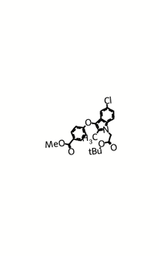 COC(=O)c1ccc(Oc2c(C)n(CC(=O)OC(C)(C)C)c3ccc(Cl)cc23)cc1